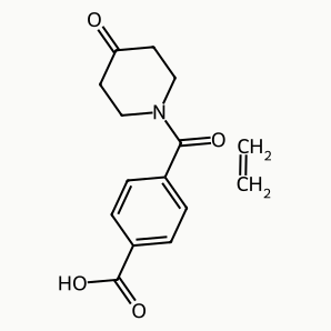 C=C.O=C1CCN(C(=O)c2ccc(C(=O)O)cc2)CC1